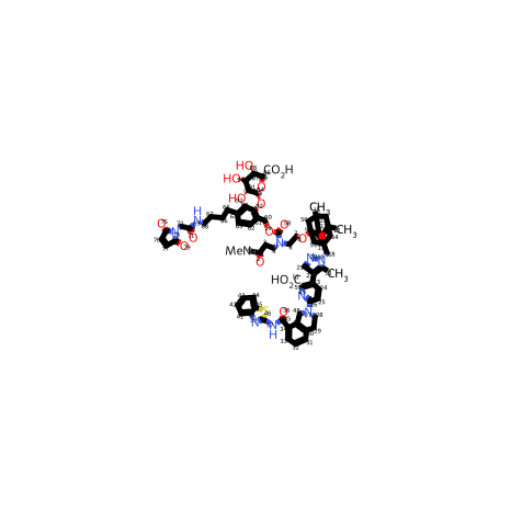 CNC(=O)CCN(CCOC12CC3(C)CC(C)(CC(Cn4ncc(-c5ccc(N6CCc7cccc(C(=O)Nc8nc9ccccc9s8)c7C6)nc5C(=O)O)c4C)(C3)C1)C2)C(=O)OCc1ccc(CCCCNC(=O)CN2C(=O)C=CC2=O)cc1O[C@@H]1O[C@H](C(=O)O)[C@@H](O)[C@H](O)[C@H]1O